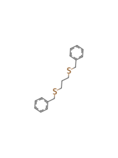 c1ccc(CSCCCSCc2ccccc2)cc1